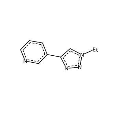 CCn1cc(-c2cccnc2)nn1